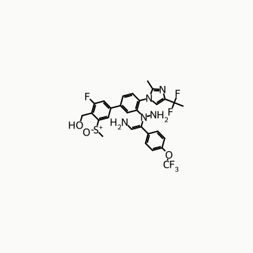 Cc1nc(C(C)(F)F)cn1-c1ccc(-c2cc(F)c(CO)c([S+](C)[O-])c2)cc1N(N)/C(=C\N)c1ccc(OC(F)(F)F)cc1